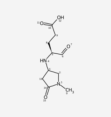 CN1CC(N[C@H](C=O)CCC(=O)O)CC1=O